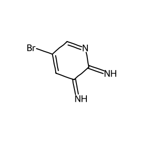 N=C1C=C(Br)C=NC1=N